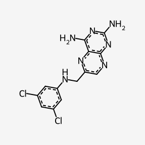 Nc1nc(N)c2nc(CNc3cc(Cl)cc(Cl)c3)cnc2n1